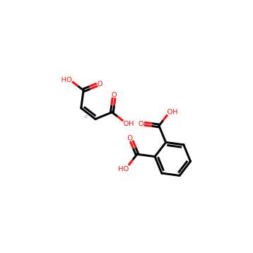 O=C(O)/C=C\C(=O)O.O=C(O)c1ccccc1C(=O)O